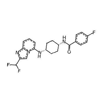 O=C(N[C@H]1CC[C@@H](Nc2cccc3nc(C(F)F)cn23)CC1)c1ccc(F)cc1